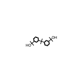 CC(C)(O)c1cccc(C(C)(C)c2cccc(C(C)(C)O)c2)c1